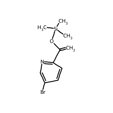 C=C(O[Si](C)(C)C)c1ccc(Br)cn1